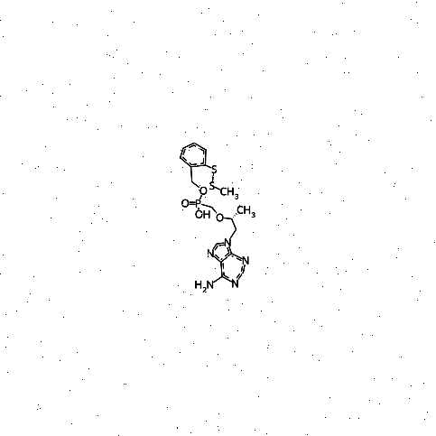 CSSc1ccccc1COP(=O)(O)CO[C@H](C)Cn1cnc2c(N)ncnc21